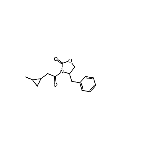 CC1CC1CC(=O)N1C(=O)OCC1Cc1ccccc1